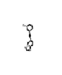 Fc1cccc(C#Cc2ccc3ncnn3c2)c1